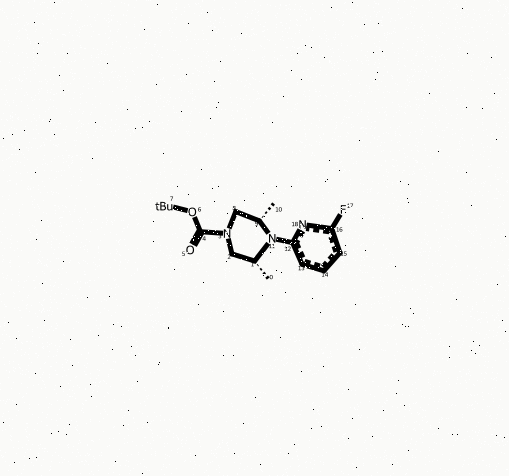 C[C@@H]1CN(C(=O)OC(C)(C)C)C[C@H](C)N1c1cccc(F)n1